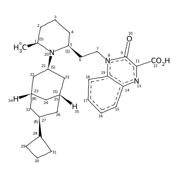 C[C@H]1CCC[C@@H](CCn2c(=O)c(C(=O)O)nc3ccccc32)N1[C@@H]1C[C@@H]2C[C@@H](C[C@@H](C3CCC3)C2)C1